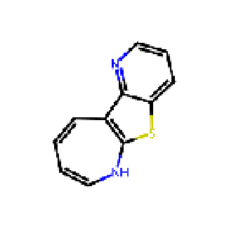 C1=CNc2sc3cccnc3c2C=C1